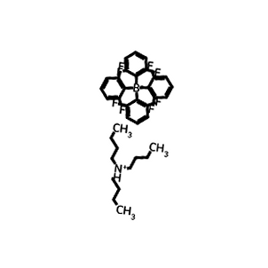 CCCC[NH+](CCCC)CCCC.Fc1cccc(F)c1[B-](c1c(F)cccc1F)(c1c(F)cccc1F)c1c(F)cccc1F